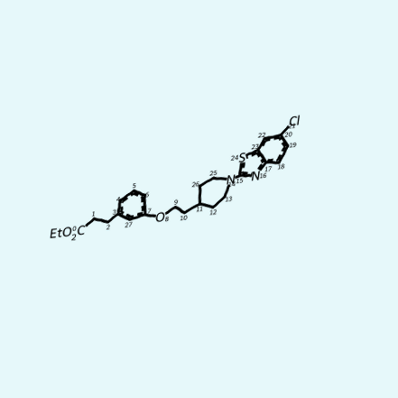 CCOC(=O)CCc1cccc(OCCC2CCN(c3nc4ccc(Cl)cc4s3)CC2)c1